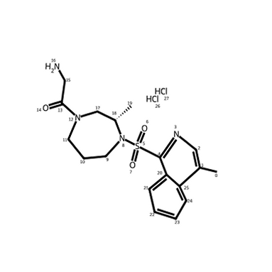 Cc1cnc(S(=O)(=O)N2CCCN(C(=O)CN)C[C@@H]2C)c2ccccc12.Cl.Cl